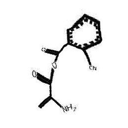 C=C(N)C(=O)OC(=O)c1ccccc1C#N